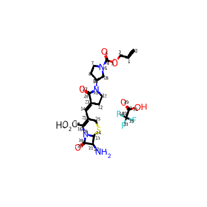 C=CCOC(=O)N1CC[C@H](N2CCC(=CC3=C(C(=O)O)N4C(=O)C(N)C4SC3)C2=O)C1.O=C(O)C(F)(F)F